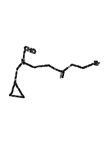 O=CN(CCNCCBr)CC1CC1